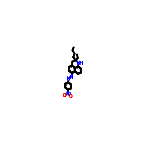 CCCCC1(CC)Cc2ccc(N=Nc3ccc([N+](=O)[O-])cc3)c3cccc(c23)N1